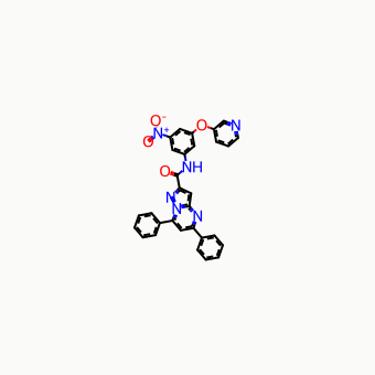 O=C(Nc1cc(Oc2cccnc2)cc([N+](=O)[O-])c1)c1cc2nc(-c3ccccc3)cc(-c3ccccc3)n2n1